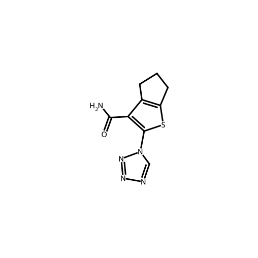 NC(=O)c1c(-n2cnnn2)sc2c1CCC2